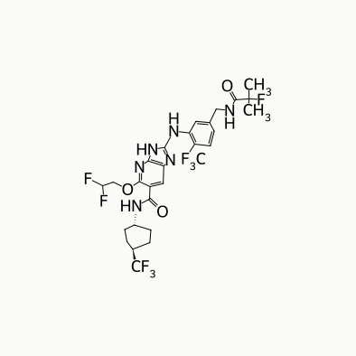 CC(C)(F)C(=O)NCc1ccc(C(F)(F)F)c(Nc2nc3cc(C(=O)N[C@H]4CC[C@H](C(F)(F)F)CC4)c(OCC(F)F)nc3[nH]2)c1